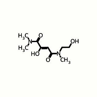 CN(C)C(=O)/C(O)=C/C(=O)N(C)CCO